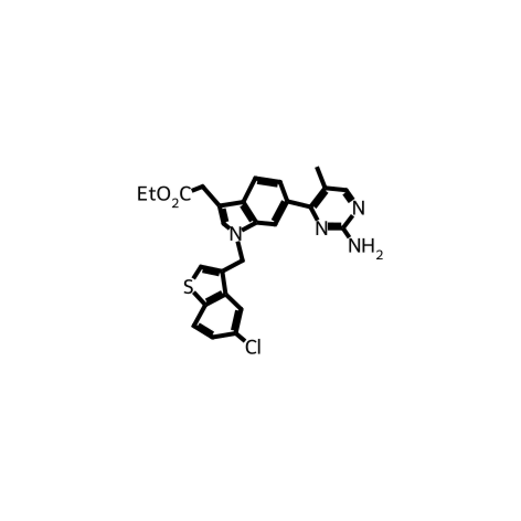 CCOC(=O)Cc1cn(Cc2csc3ccc(Cl)cc23)c2cc(-c3nc(N)ncc3C)ccc12